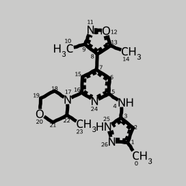 Cc1cc(Nc2cc(-c3c(C)noc3C)cc(N3CCOCC3C)n2)[nH]n1